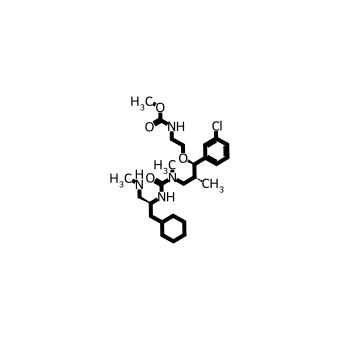 CNC[C@H](CC1CCCCC1)NC(=O)N(C)C[C@@H](C)[C@@H](OCCNC(=O)OC)c1cccc(Cl)c1